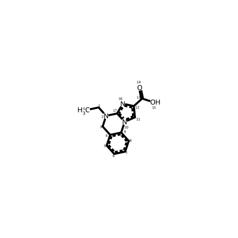 CCN1Cc2ccccc2-n2cc(C(=O)O)nc21